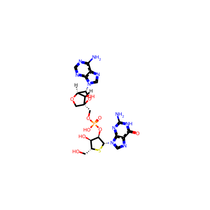 Nc1nc2c(ncn2[C@@H]2S[C@H](CO)[C@@H](O)[C@H]2OP(=O)(O)OC[C@@]23CO[C@@H]([C@H](n4cnc5c(N)ncnc54)O2)[C@@H]3O)c(=O)[nH]1